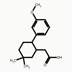 COc1cccc(C2CCC(C)(C)CC2CC(=O)O)c1